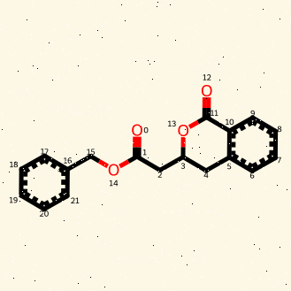 O=C(CC1Cc2ccccc2C(=O)O1)OCc1ccccc1